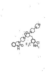 Nc1c(Cl)cc(CC(CC(=O)N2CCC(N3Cc4ccccc4NC3=O)CC2)C(=O)N2CCC(N3CC[N]CC3)CC2)cc1C(F)(F)F